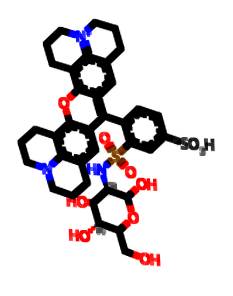 O=S(=O)(O)c1ccc(C2=c3cc4c5c(c3Oc3c2cc2c6c3CCCN6CCC2)CCC[N+]=5CCC4)c(S(=O)(=O)N[C@H]2C(O)OC(CO)[C@H](O)C2O)c1